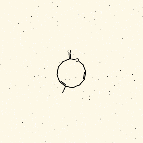 CC1=CCCCC(=O)OCC=CCC1